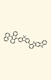 CC1(C)c2ccc(-c3cccc4c3sc3cc5c(cc34)sc3ccccc35)cc2-c2ccc(-c3c4ccccc4c(-c4cccc5ccccc45)c4ccccc34)cc21